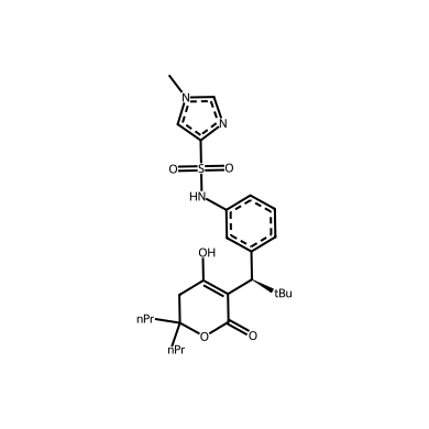 CCCC1(CCC)CC(O)=C([C@@H](c2cccc(NS(=O)(=O)c3cn(C)cn3)c2)C(C)(C)C)C(=O)O1